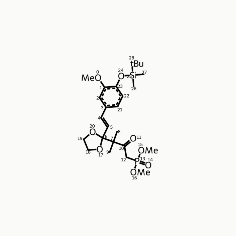 COc1cc(/C=C/C2(C(C)(C)C(=O)CP(=O)(OC)OC)OCCO2)ccc1O[Si](C)(C)C(C)(C)C